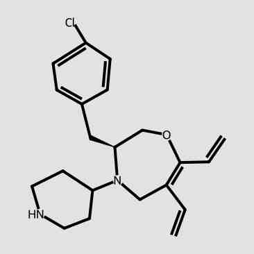 C=CC1=C(C=C)OC[C@H](Cc2ccc(Cl)cc2)N(C2CCNCC2)C1